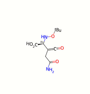 CC(C)(C)ON[C@H](C(=O)O)C(=C=O)CC(N)=O